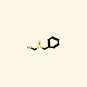 N#CC[S+]([O-])Cc1ccccc1